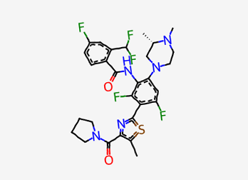 Cc1sc(-c2c(F)cc(N3CCN(C)[C@@H](C)C3)c(NC(=O)c3ccc(F)cc3C(F)F)c2F)nc1C(=O)N1CCCC1